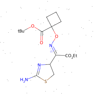 CCOC(=O)/C(=N\OC1(C(=O)OC(C)(C)C)CCC1)C1CSC(N)=N1